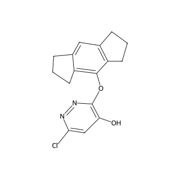 Oc1cc(Cl)nnc1Oc1c2c(cc3c1CCC3)CCC2